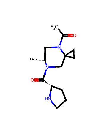 C[C@@H]1CN(C(=O)C(F)(F)F)C2(CC2)CN1C(=O)[C@@H]1CCCN1